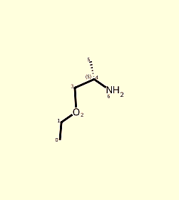 CCOC[C@H](C)N